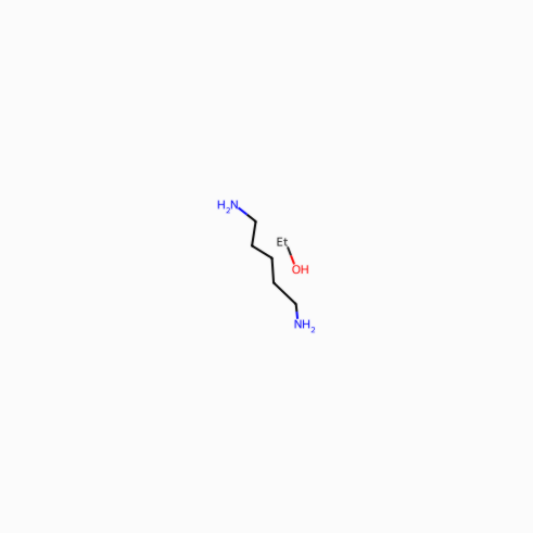 CCO.NCCCCCN